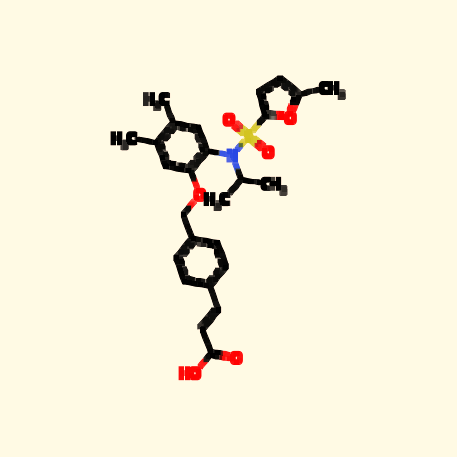 Cc1ccc(S(=O)(=O)N(c2cc(C)c(C)cc2OCc2ccc(C=CC(=O)O)cc2)C(C)C)o1